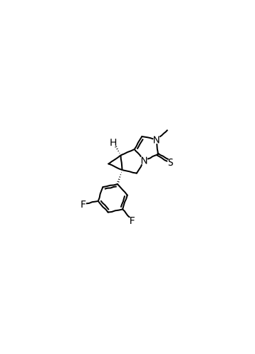 Cn1cc2n(c1=S)C[C@@]1(c3cc(F)cc(F)c3)C[C@@H]21